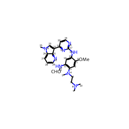 COc1cc(N(C)CCN(C)C)c(NC=O)cc1Nc1nccc(-c2cn(C)c3cccnc23)n1